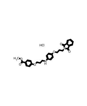 COC(=O)c1ccc(OCCCNc2ccc(OCCCN3C(=O)c4ccccc4C3=O)cc2)cc1.Cl